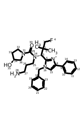 CC(C)(CF)[C@H](c1nc(-c2ccccc2)cn1Cc1ccccc1)N(CCCN)C(=O)N1CC[C@H](O)C1